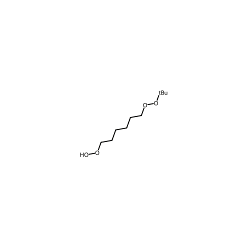 CC(C)(C)OOCCCCCCOO